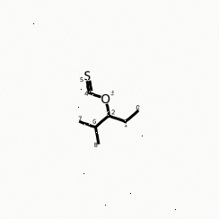 CCC(OC=S)C(C)C